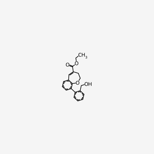 CCOC(=O)C1=Cc2cccc(-c3ccccc3CO)c2OCC1